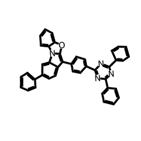 c1ccc(-c2ccc3c(-c4ccc(-c5nc(-c6ccccc6)nc(-c6ccccc6)n5)cc4)c4oc5ccccc5n4c3c2)cc1